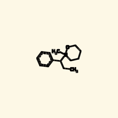 CCC(c1ccccc1)[Si]1(C)CCCCO1